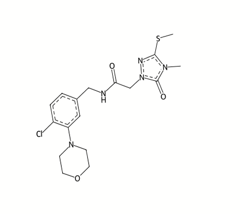 CSc1nn(CC(=O)NCc2ccc(Cl)c(N3CCOCC3)c2)c(=O)n1C